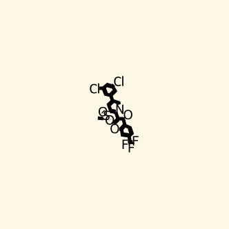 CCS(=O)(=O)c1cc(-c2cc(Cl)cc(Cl)c2)cnc1-c1coc2cc(C(F)(F)F)ccc2c1=O